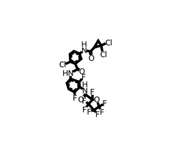 O=C(Nc1ccc(F)c(NC(=O)C2(F)OC(F)(F)C(F)(F)C2(F)F)c1F)c1cc(NC(=O)C2CC2(Cl)Cl)ccc1Cl